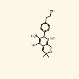 CC1(C)C=C2C(=NN(c3ccc(CCO)cc3)C(N)=C2C#N)CO1.Cl